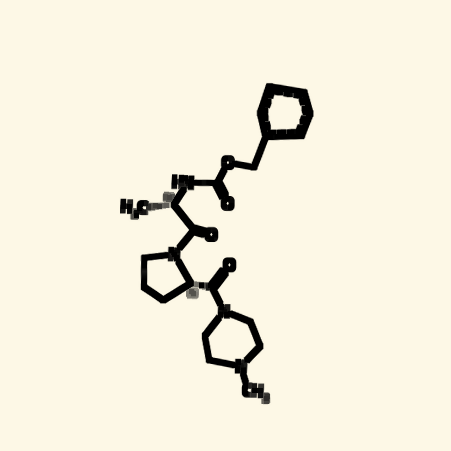 C[C@H](NC(=O)OCc1ccccc1)C(=O)N1CCC[C@H]1C(=O)N1CCN(C)CC1